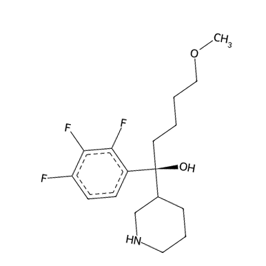 COCCCC[C@@](O)(c1ccc(F)c(F)c1F)C1CCCNC1